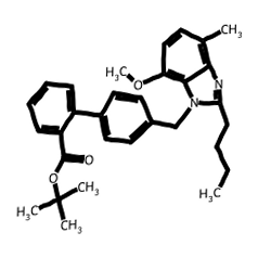 CCCCc1nc2c(C)ccc(OC)c2n1Cc1ccc(-c2ccccc2C(=O)OC(C)(C)C)cc1